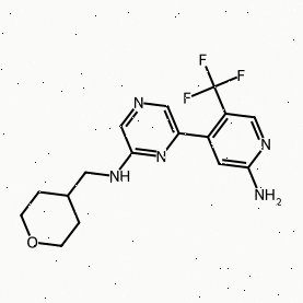 Nc1cc(-c2cncc(NCC3CCOCC3)n2)c(C(F)(F)F)cn1